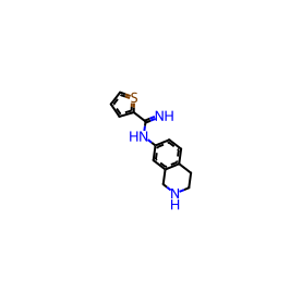 N=C(Nc1ccc2c(c1)CNCC2)c1cccs1